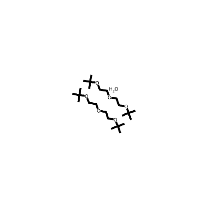 CC(C)(C)OCCOCCOC(C)(C)C.CC(C)(C)OCCOCCOC(C)(C)C.O